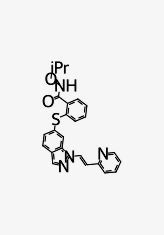 CC(C)ONC(=O)c1ccccc1Sc1ccc2cnn(C=Cc3ccccn3)c2c1